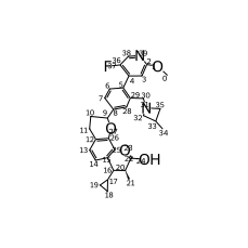 COc1cc(-c2ccc(C3CCc4ccc(C(C5CC5)[C@H](C)C(=O)O)cc4O3)cc2CN2CC(C)C2)c(F)cn1